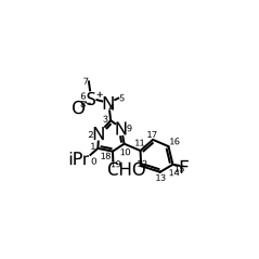 CC(C)c1nc(N(C)[S+](C)[O-])nc(-c2ccc(F)cc2)c1C=O